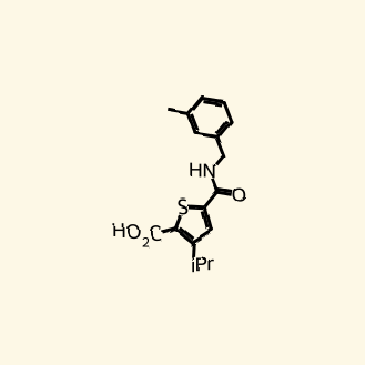 Cc1cccc(CNC(=O)c2cc(C(C)C)c(C(=O)O)s2)c1